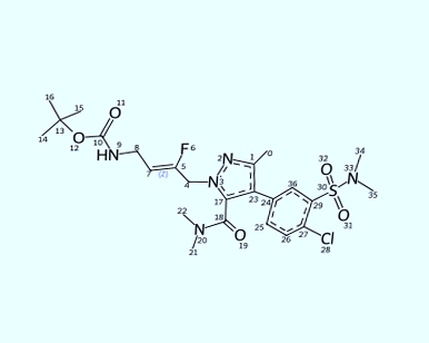 Cc1nn(C/C(F)=C/CNC(=O)OC(C)(C)C)c(C(=O)N(C)C)c1-c1ccc(Cl)c(S(=O)(=O)N(C)C)c1